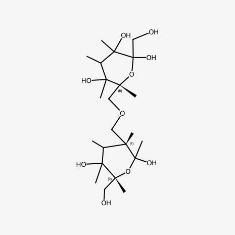 CC1C(C)(O)C(O)(CO)O[C@](C)(COC[C@@]2(C)C(C)C(C)(O)[C@@](C)(CO)OC2(C)O)C1(C)O